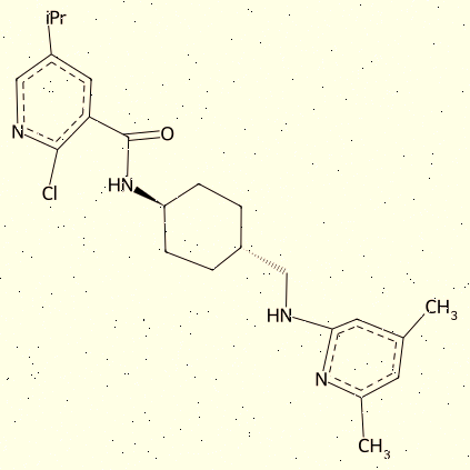 Cc1cc(C)nc(NC[C@H]2CC[C@H](NC(=O)c3cc(C(C)C)cnc3Cl)CC2)c1